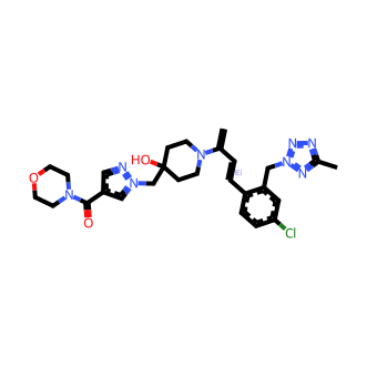 C=C(/C=C/c1ccc(Cl)cc1Cn1nnc(C)n1)N1CCC(O)(Cn2cc(C(=O)N3CCOCC3)cn2)CC1